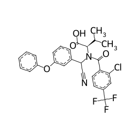 CC(C)[C@H](C(=O)O)N(C(=O)c1ccc(C(F)(F)F)cc1Cl)C(C#N)c1cccc(Oc2ccccc2)c1